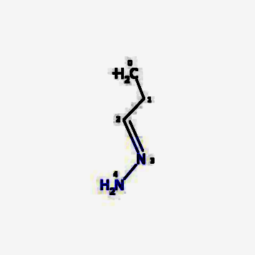 [CH2]CC=NN